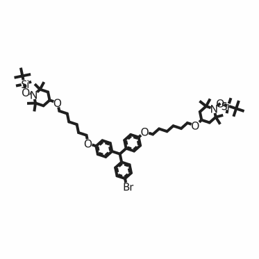 CC1(C)CC(OCCCCCCOc2ccc(C(c3ccc(Br)cc3)c3ccc(OCCCCCCOC4CC(C)(C)N(O[Si](C)(C)C(C)(C)C)C(C)(C)C4)cc3)cc2)CC(C)(C)N1O[Si](C)(C)C(C)(C)C